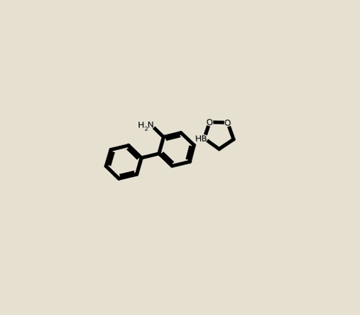 B1CCOO1.Nc1ccccc1-c1ccccc1